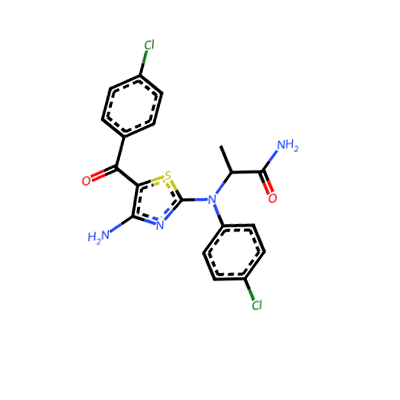 CC(C(N)=O)N(c1ccc(Cl)cc1)c1nc(N)c(C(=O)c2ccc(Cl)cc2)s1